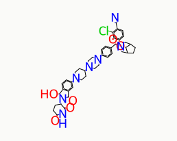 N#Cc1ccc(OC2C3CCC2CN(C(=O)c2ccc(N4CCN(C5CCN(c6ccc7c(c6)C(=O)N(C6CCC(=O)NC6=O)C7O)CC5)CC4)cc2)C3)cc1Cl